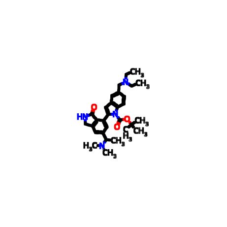 CCN(CC)Cc1ccc2c(c1)cc(-c1cc(C(C)N(C)C)cc3c1C(=O)NC3)n2C(=O)OC(C)(C)C